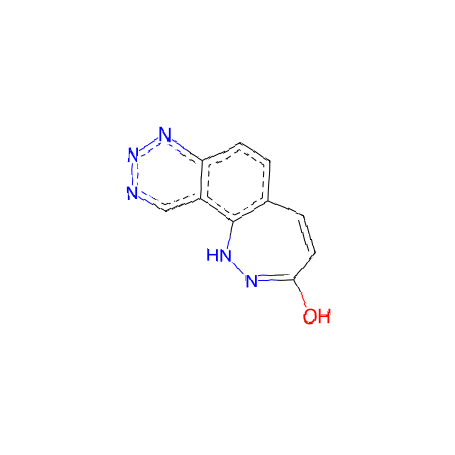 OC1=NNc2c(ccc3nnncc23)C=C1